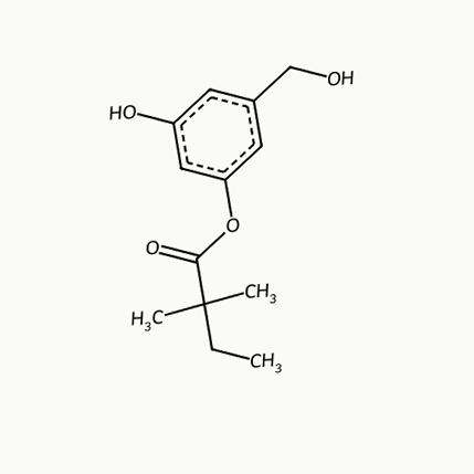 CCC(C)(C)C(=O)Oc1cc(O)cc(CO)c1